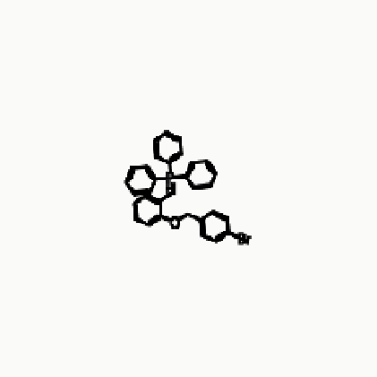 Brc1ccc(COc2ccccc2C[PH](c2ccccc2)(c2ccccc2)c2ccccc2)cc1